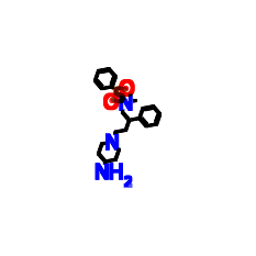 CN(CC(CCN1CCC(N)CC1)c1ccccc1)S(=O)(=O)c1ccccc1